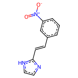 O=[N+]([O-])c1cccc(C=Cc2ncc[nH]2)c1